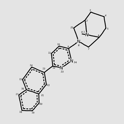 CN1C2CCCC1CN(c1ccc(-c3ccc4ccccc4c3)nn1)C2